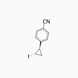 N#Cc1ccc([C@H]2C[C@@H]2I)cc1